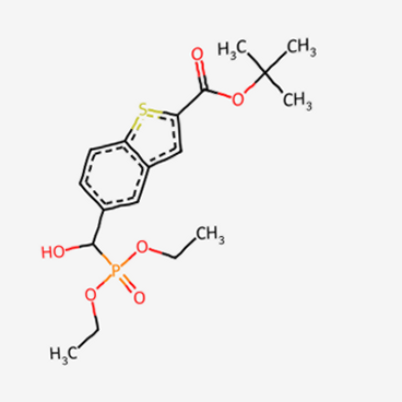 CCOP(=O)(OCC)C(O)c1ccc2sc(C(=O)OC(C)(C)C)cc2c1